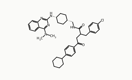 CN(C)c1nc(N[C@H]2CC[C@@H](CNC(=O)C(CC(=O)c3ccc(C4CCCCC4)cc3)Cc3ccc(Cl)cc3)CC2)nc2ccccc12